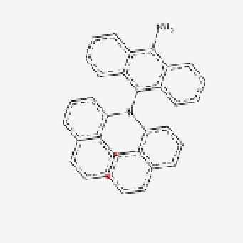 Nc1c2ccc[c]c2c(N(c2cccc3ccccc23)c2cccc3ccccc23)c2ccccc12